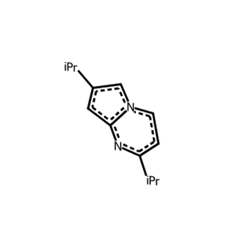 CC(C)c1cc2nc(C(C)C)ccn2c1